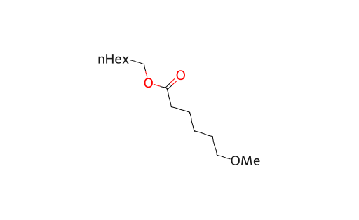 CCCCCCCOC(=O)CCCCCOC